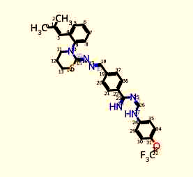 CC(C)=Cc1ccccc1N1CCCS/C1=N\N=C\c1ccc(C(=N)/N=C\Nc2ccc(OC(F)(F)F)cc2)cc1